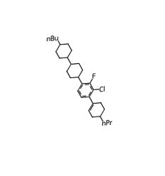 CCCCC1CCC(C2CCC(c3ccc(C4=CCC(CCC)CC4)c(Cl)c3F)CC2)CC1